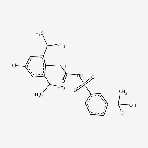 CC(C)c1cc(Cl)cc(C(C)C)c1NC(=O)NS(=O)(=O)c1cccc(C(C)(C)O)c1